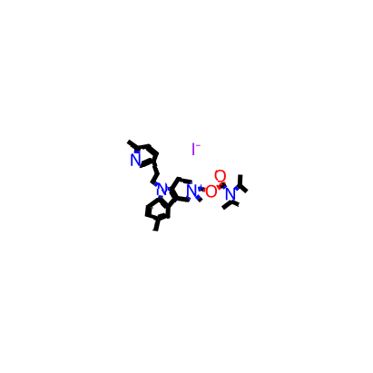 Cc1ccc2c(c1)c1c(n2CCc2ccc(C)nc2)CC[N+](C)(COC(=O)N(C(C)C)C(C)C)C1.[I-]